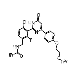 CCCOCCOc1ccc(-c2cc(=O)[nH]c(-c3c(Cl)ccc(CNC(=O)C(C)C)c3F)n2)cn1